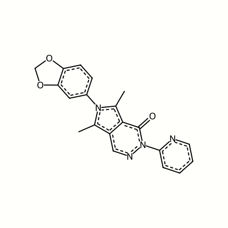 Cc1c2cnn(-c3ccccn3)c(=O)c2c(C)n1-c1ccc2c(c1)OCO2